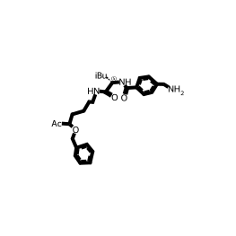 CCC(C)[C@H](NC(=O)c1ccc(CN)cc1)C(=O)NCCCCC(OCc1ccccc1)C(C)=O